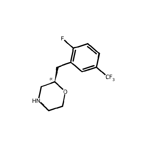 Fc1ccc(C(F)(F)F)cc1C[C@@H]1CNCCO1